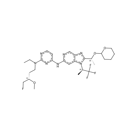 CCN(CC[C@@H](CF)OC)c1nccc(Nc2cc3c(cn2)nc([C@@H](C)OC2CCCCO2)n3[C@H](C)C(F)(F)F)n1